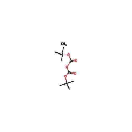 C.CC(C)(C)OC(=O)OC(=O)OC(C)(C)C